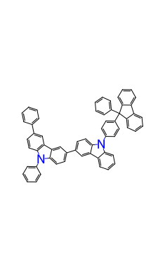 c1ccc(-c2ccc3c(c2)c2cc(-c4ccc5c(c4)c4ccccc4n5-c4ccc(C5(c6ccccc6)c6ccccc6-c6ccccc65)cc4)ccc2n3-c2ccccc2)cc1